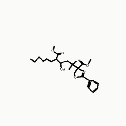 CCCCCCC(C(=O)OC)C(O)CC(C)(C)C1(C(=O)OC)COC(c2ccccc2)=N1